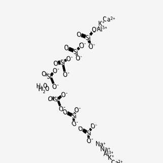 O.O.O=[Si]([O-])[O-].O=[Si]([O-])[O-].O=[Si]([O-])[O-].O=[Si]([O-])[O-].O=[Si]([O-])[O-].O=[Si]([O-])[O-].O=[Si]([O-])[O-].[Al+3].[Al+3].[Ca+2].[Ca+2].[K+].[K+].[Na+].[Na+]